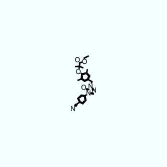 CCOC(=O)C(C)(C)Oc1c(C)cc(Cn2ncn(-c3ccc(C#N)cc3)c2=O)cc1C